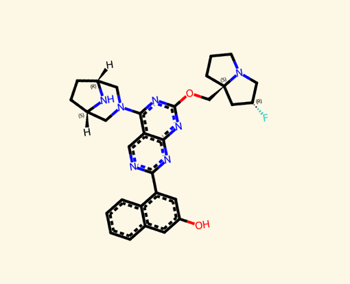 Oc1cc(-c2ncc3c(N4C[C@H]5CC[C@@H](C4)N5)nc(OC[C@@]45CCCN4C[C@H](F)C5)nc3n2)c2ccccc2c1